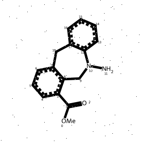 COC(=O)c1cccc2c1CN(N)c1ccccc1C2